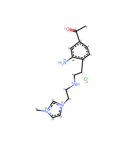 CC(=O)c1ccc(CCNCCn2cc[n+](C)c2)c(N)c1.[Cl-]